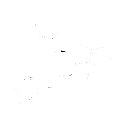 COC(=O)O[C@H]1C[C@H]2CCC[C@H]2N1C(=O)OCc1ccccc1